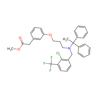 COC(=O)Cc1cccc(OCCCN(Cc2cccc(C(F)(F)F)c2Cl)C(C)(c2ccccc2)c2ccccc2)c1